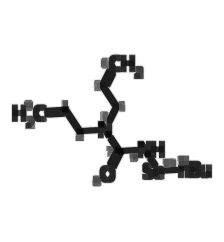 C=CCN(CC=C)C(=O)N[Se]CCCC